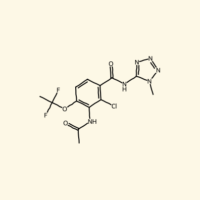 CC(=O)Nc1c(OC(C)(F)F)ccc(C(=O)Nc2nnnn2C)c1Cl